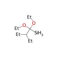 CCOC([SiH3])(OCC)C(CC)CC